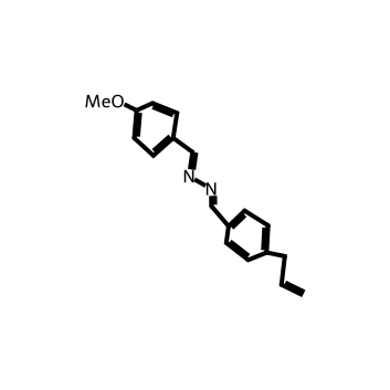 C=CCc1ccc(/C=N/N=C/c2ccc(OC)cc2)cc1